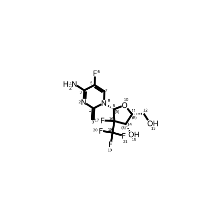 C=C1N=C(N)C(F)=CN1[C@@H]1O[C@H](CO)[C@H](O)C1(F)C(F)(F)F